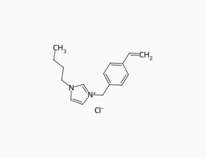 C=Cc1ccc(C[n+]2ccn(CCCC)c2)cc1.[Cl-]